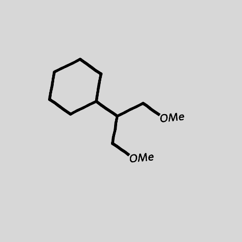 COCC(COC)C1CCCCC1